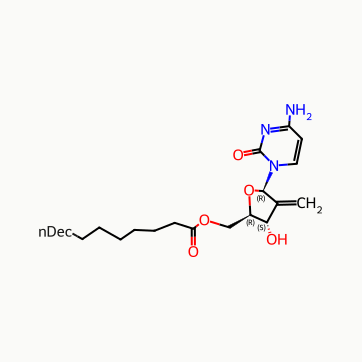 C=C1[C@H](n2ccc(N)nc2=O)O[C@H](COC(=O)CCCCCCCCCCCCCCCC)[C@H]1O